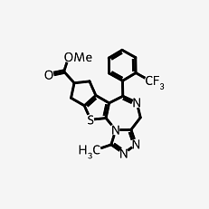 COC(=O)C1Cc2sc3c(c2C1)C(c1ccccc1C(F)(F)F)=NCc1nnc(C)n1-3